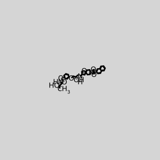 CC(O)CNS(=O)(=O)c1cccc(OC[C@@H](O)CNC2COC3(CCN(S(=O)(=O)c4ccc5ccccc5c4)CC3)C2)c1